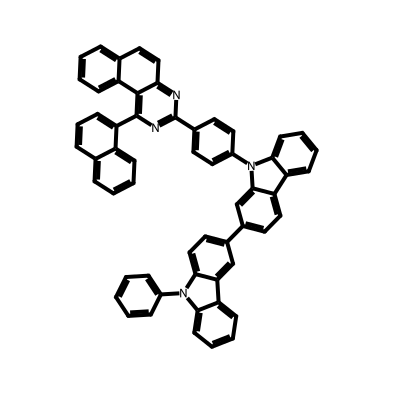 c1ccc(-n2c3ccccc3c3cc(-c4ccc5c6ccccc6n(-c6ccc(-c7nc(-c8cccc9ccccc89)c8c(ccc9ccccc98)n7)cc6)c5c4)ccc32)cc1